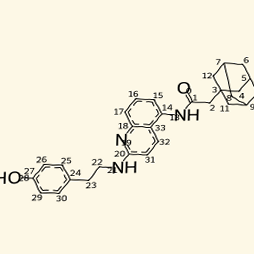 O=C(CC12CC3CC(CC(C3)C1)C2)Nc1cccc2nc(NCCc3ccc(O)cc3)ccc12